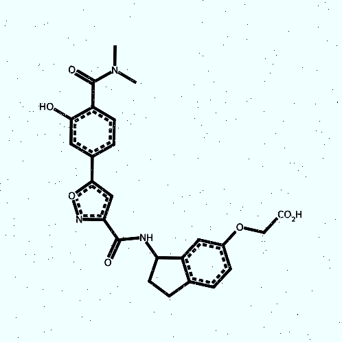 CN(C)C(=O)c1ccc(-c2cc(C(=O)NC3CCc4ccc(OCC(=O)O)cc43)no2)cc1O